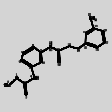 CC(C)(C)OC(=O)Nc1cccc(NC(=O)CCc2cccc(N)c2)c1